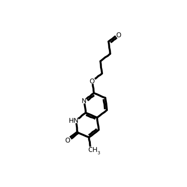 Cc1cc2ccc(OCCCC=O)nc2[nH]c1=O